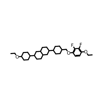 CCOc1ccc(OCC2CCC(C3CCC4CC(C5CCC(OCC)CC5)CCC4C3)CC2)c(F)c1F